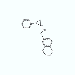 c1ccc(C2C[C@@H]2NCc2ccc3c(c2)OCCO3)cc1